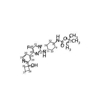 CC(C)(C)OC(=O)N[C@H]1CC[C@H](Nc2ncc(F)c(-c3ccnc(C4(O)CCC4)c3)n2)CC1